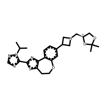 CC(C)n1ncnc1-c1nc2c(s1)CCOc1cc(C3CN(C[C@H]4COC(C)(C)O4)C3)ccc1-2